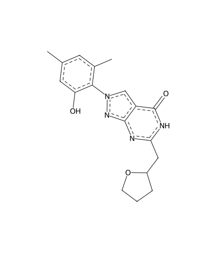 Cc1cc(C)c(-n2cc3c(=O)[nH]c(CC4CCCO4)nc3n2)c(O)c1